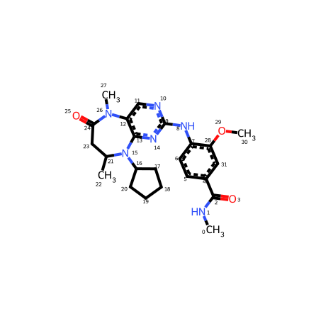 CNC(=O)c1ccc(Nc2ncc3c(n2)N(C2CCCC2)C(C)CC(=O)N3C)c(OC)c1